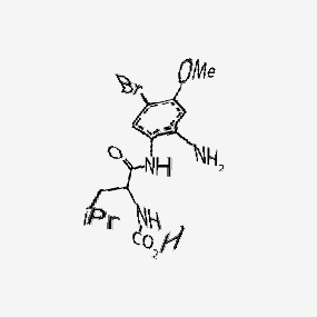 COc1cc(N)c(NC(=O)C(CC(C)C)NC(=O)O)cc1Br